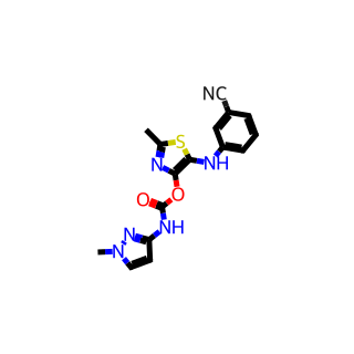 Cc1nc(OC(=O)Nc2ccn(C)n2)c(Nc2cccc(C#N)c2)s1